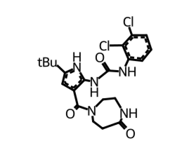 CC(C)(C)c1cc(C(=O)N2CCNC(=O)CC2)c(NC(=O)Nc2cccc(Cl)c2Cl)[nH]1